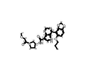 CCCOc1ccc2c(c1-c1ncnc3c(C(=O)N[C@@H]4CCN(C(=O)COC)C4)c[nH]c13)OCO2